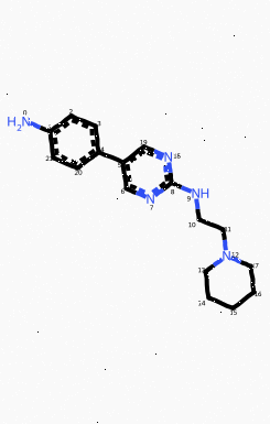 Nc1ccc(-c2cnc(NCCN3CCCCC3)nc2)cc1